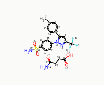 Cc1ccc(-c2cc(C(F)(F)F)nn2-c2ccc(S(N)(=O)=O)cc2)cc1.NC(=O)CCC(=O)O